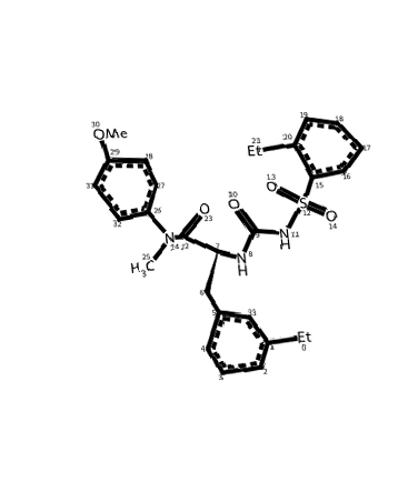 CCc1cccc(C[C@H](NC(=O)NS(=O)(=O)c2ccccc2CC)C(=O)N(C)c2ccc(OC)cc2)c1